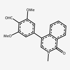 COc1cc(-c2cn(C)c(=O)c3ccccc23)cc(OC)c1C=O